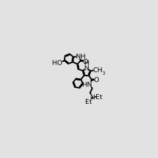 CCN(CC)CCNC(=O)c1c(C)[nH]c(C=C2C(=O)Nc3ccc(O)cc32)c1-c1ccccc1